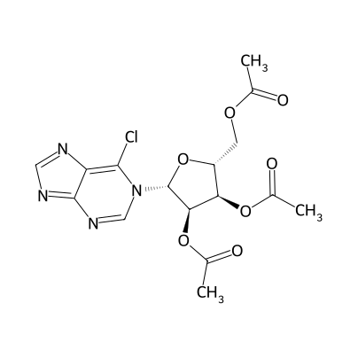 CC(=O)OC[C@H]1O[C@@H](n2cnc3ncnc-3c2Cl)[C@H](OC(C)=O)[C@@H]1OC(C)=O